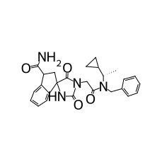 C[C@@H](C1CC1)N(Cc1ccccc1)C(=O)CN1C(=O)NC2(CC(C(N)=O)c3ccccc32)C1=O